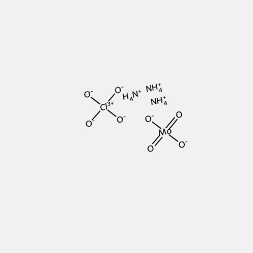 [NH4+].[NH4+].[NH4+].[O-][Cl+3]([O-])([O-])[O-].[O]=[Mo](=[O])([O-])[O-]